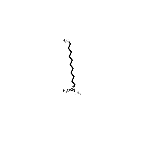 CCCCCCCCCCC[CH2][GeH]([CH3])[CH3]